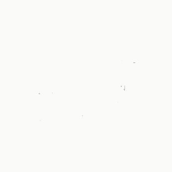 CC1CCN(Cc2ccc(-c3ccccc3)cc2)CC1